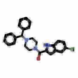 O=C(c1cc2cc(Cl)ccc2[nH]1)N1CCN(C(c2ccccc2)c2ccccc2)CC1